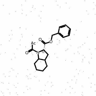 CC(=O)C(=O)N1C2CCCCC2C[C@H]1C(=O)OCc1ccccc1